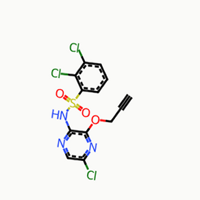 C#CCOc1nc(Cl)cnc1NS(=O)(=O)c1cccc(Cl)c1Cl